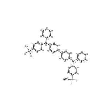 CCCC(C)(C)c1ccc(N(c2ccccc2)c2ccc(-c3ccc(N(c4ccccc4)c4ccc(C(C)(C)CC)cc4)cc3)cc2)cc1